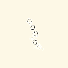 NS(=O)(=O)c1ccc(Nc2nccc(-c3ccc(N4CCCCC4)cc3)n2)cc1